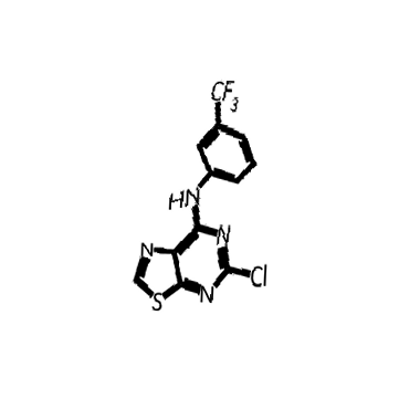 FC(F)(F)c1cccc(Nc2nc(Cl)nc3scnc23)c1